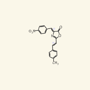 Cc1ccc(/C=C/C2=NC(=C\c3ccc([N+](=O)[O-])cc3)/C(=O)O2)cc1